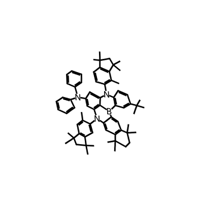 Cc1cc2c(cc1N1c3cc4c(cc3B3c5cc(C(C)(C)C)ccc5N(c5ccc6c(c5C)C(C)(C)CC6(C)C)c5cc(N(c6ccccc6)c6ccccc6)cc1c53)C(C)(C)CCC4(C)C)C(C)(C)CC2(C)C